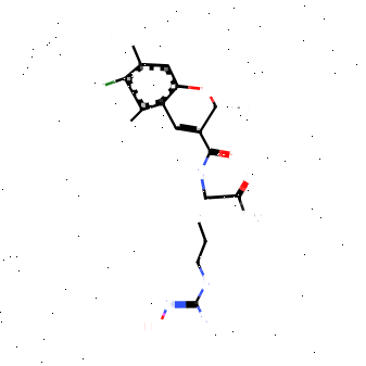 COC(=O)[C@H](CCCNC(N)=NO)NC(=O)C1=Cc2c(cc(C)c(Cl)c2C)O[C@@H]1C(F)(F)F